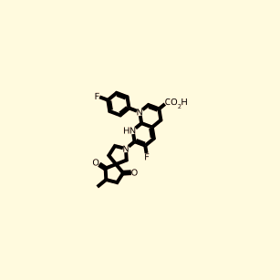 CC1CC(=O)C2(CCN(C3=C(F)C=C4CC(C(=O)O)=CN(c5ccc(F)cc5)C4N3)C2)C1=O